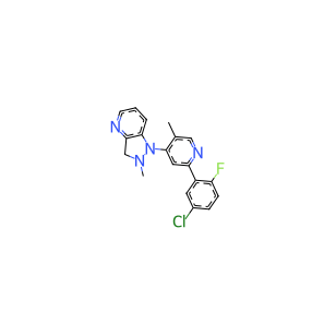 Cc1cnc(-c2cc(Cl)ccc2F)cc1N1c2cccnc2CN1C